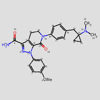 COc1ccc(-n2nc(C(N)=O)c3c2C(=O)N(c2ccc(CC4(N(C)C)CC4)cc2)CC3)cc1